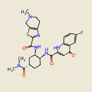 CN1CCc2nc(C(=O)N[C@@H]3C[C@@H](C(=O)N(C)C)CC[C@@H]3NC(=O)c3cc(=O)c4cc(F)ccc4[nH]3)sc2C1